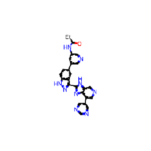 CCC(=O)Nc1cncc(-c2ccc3[nH]nc(-c4nc5c(-c6cncnc6)cncc5[nH]4)c3c2)c1